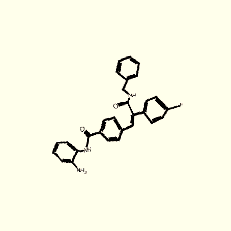 Nc1ccccc1NC(=O)c1ccc(/C=C(\C(=O)NCc2ccccc2)c2ccc(F)cc2)cc1